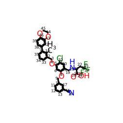 Cc1c(COc2cc(OCc3cccc(C#N)c3)c(CNC(CC(F)(F)F)C(=O)O)cc2Cl)cccc1-c1ccc2c(c1)OCCO2